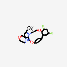 CC1CC2(COCCN2)C2COC3CCC(CC3)C3CC(F)CC(F)C3OCCN12